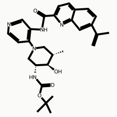 C=C(C)c1ccc2ccc(C(=O)Nc3cnccc3N3C[C@H](C)[C@@H](O)[C@H](NC(=O)OC(C)(C)C)C3)nc2c1